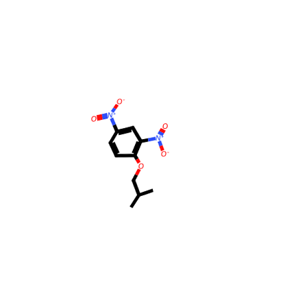 C[C](C)COc1ccc([N+](=O)[O-])cc1[N+](=O)[O-]